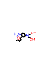 Cc1ccc(-c2cc(N(CCO)CCO)ccc2N)o1